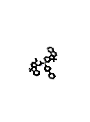 C=Cc1ccc2c(c1/C=C(\C)N(c1ccc(-c3ccccc3)cc1)c1ccc3c(c1)C(C)(C)c1ccc4ccccc4c1-3)-c1ccccc1C2(C)C